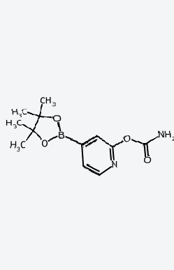 CC1(C)OB(c2ccnc(OC(N)=O)c2)OC1(C)C